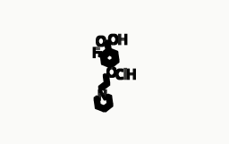 Cl.O=C(O)c1ccc(OCCCN2CCCCC2)cc1F